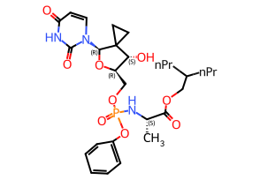 CCCC(CCC)COC(=O)[C@H](C)NP(=O)(OC[C@H]1O[C@@H](n2ccc(=O)[nH]c2=O)C2(CC2)[C@@H]1O)Oc1ccccc1